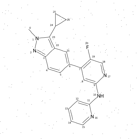 Cn1nc2ccc(-c3cc(Nc4ccccn4)ncc3F)cc2c1C1CC1